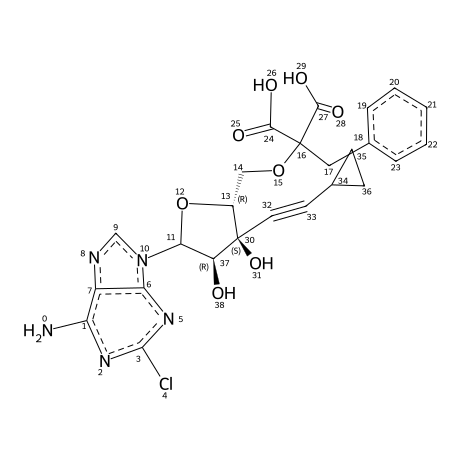 Nc1nc(Cl)nc2c1ncn2C1O[C@H](COC(Cc2ccccc2)(C(=O)O)C(=O)O)[C@](O)(C#CC2CC2)[C@H]1O